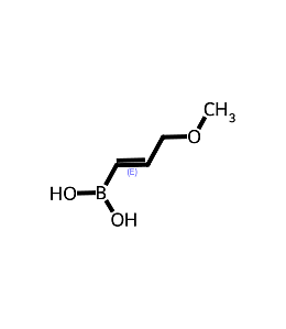 COC/C=C/B(O)O